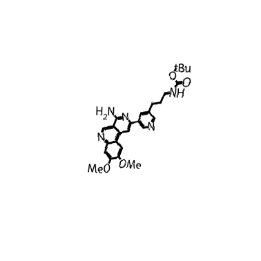 COc1cc2ncc3c(N)nc(-c4cncc(CCCNC(=O)OC(C)(C)C)c4)cc3c2cc1OC